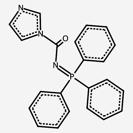 O=C(N=P(c1ccccc1)(c1ccccc1)c1ccccc1)n1ccnc1